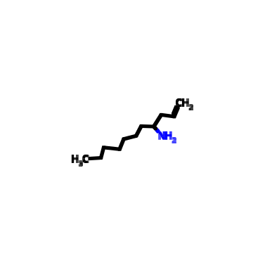 C=CCC(N)CCCCCCC